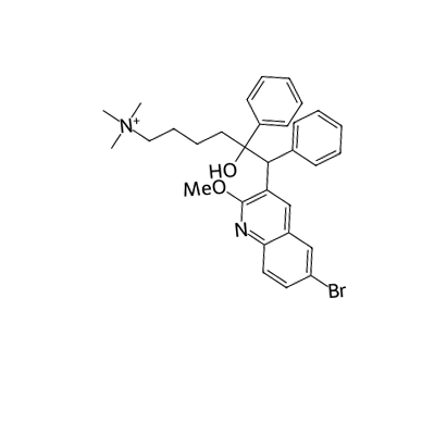 COc1nc2ccc(Br)cc2cc1C(c1ccccc1)C(O)(CCCC[N+](C)(C)C)c1ccccc1